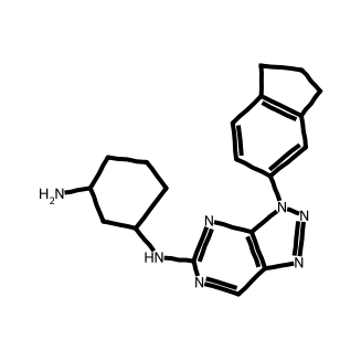 NC1CCCC(Nc2ncc3nnn(-c4ccc5c(c4)CCC5)c3n2)C1